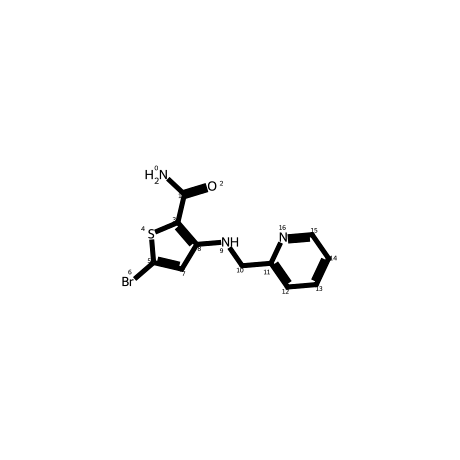 NC(=O)c1sc(Br)cc1NCc1ccccn1